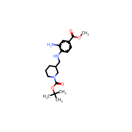 COC(=O)c1ccc(NCC2CCCN(C(=O)OC(C)(C)C)C2)c(N)c1